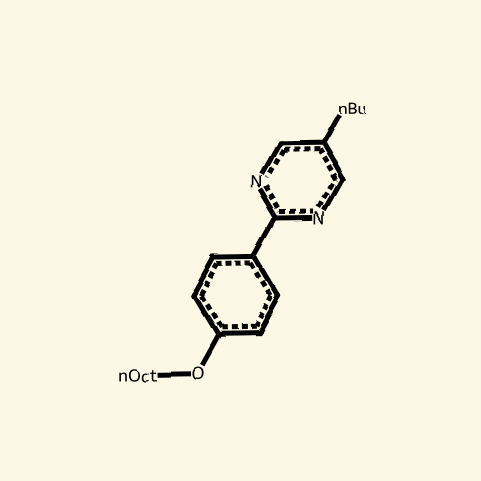 CCCCCCCCOc1ccc(-c2ncc(CCCC)cn2)cc1